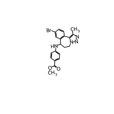 COC(=O)c1ccc(NC2CCn3nnc(C)c3-c3ccc(Br)cc32)cc1